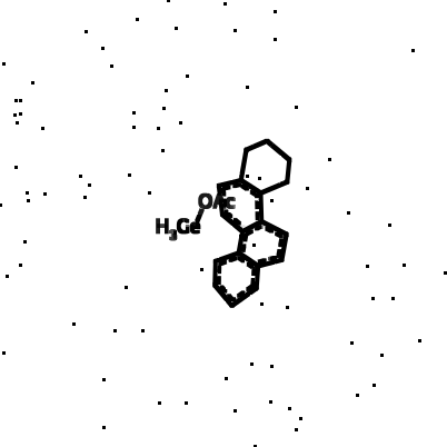 CC(=O)[O][GeH3].c1ccc2c(c1)ccc1c3c(ccc12)CCCC3